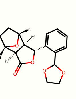 O=C1O[C@@H](c2ccccc2C2OCCO2)[C@H]2[C@@H]1[C@@H]1CC[C@H]2O1